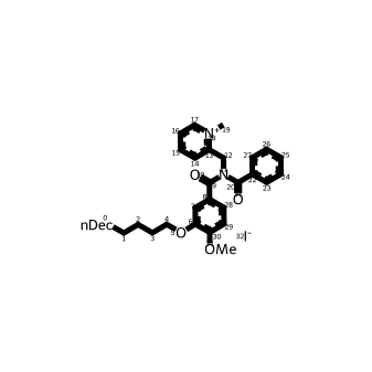 CCCCCCCCCCCCCCOc1cc(C(=O)N(Cc2cccc[n+]2C)C(=O)c2ccccc2)ccc1OC.[I-]